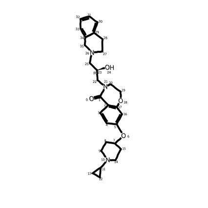 O=C1c2ccc(OC3CCN(C4CC4)CC3)cc2OCCN1C[C@H](O)CN1CCc2ccccc2C1